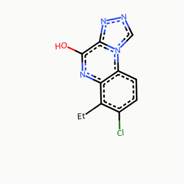 CCc1c(Cl)ccc2c1nc(O)c1nncn12